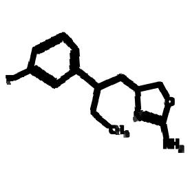 CCC(CC1COC(N)=N1)c1cccc(F)c1